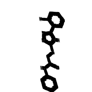 O=C(CSc1nnc(-c2ccccc2F)[nH]1)Nc1ccccc1